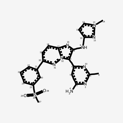 Cc1nc(N)cc(-c2c(Nc3ccn(C)n3)nc3ccc(-c4cccc(S(C)(=O)=O)c4)nn23)n1